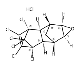 Cl.ClC1=C(Cl)[C@]2(Cl)[C@@H]3[C@@H]4C[C@@H]([C@H]5O[C@@H]45)[C@@H]3[C@@]1(Cl)C2(Cl)Cl